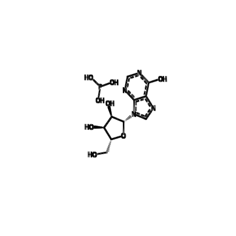 OC[C@H]1O[C@@H](n2cnc3c(O)ncnc32)[C@H](O)[C@@H]1O.OP(O)O